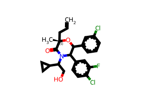 C=CC[C@]1(C)OC(c2cccc(Cl)c2)C(c2ccc(Cl)c(F)c2)N(C(CO)C2CC2)C1=O